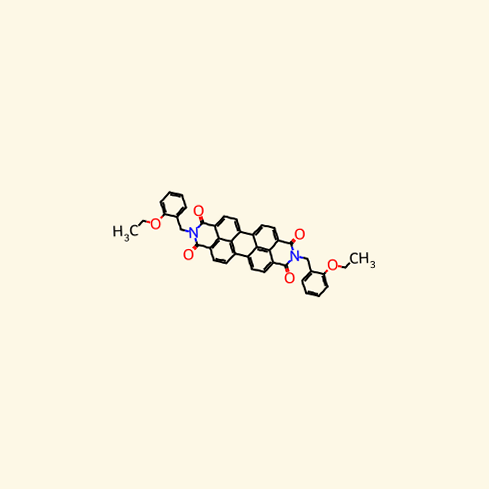 CCOc1ccccc1CN1C(=O)c2ccc3c4ccc5c6c(ccc(c7ccc(c2c37)C1=O)c64)C(=O)N(Cc1ccccc1OCC)C5=O